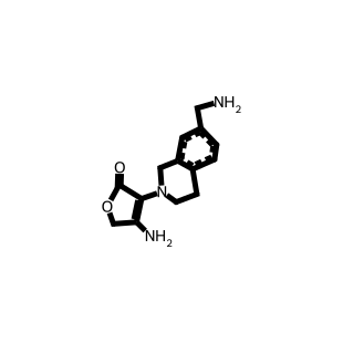 NCc1ccc2c(c1)CN(C1=C(N)COC1=O)CC2